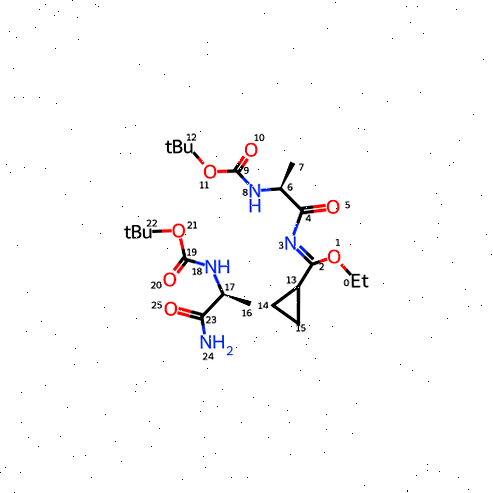 CCO/C(=N\C(=O)[C@H](C)NC(=O)OC(C)(C)C)C1CC1.C[C@H](NC(=O)OC(C)(C)C)C(N)=O